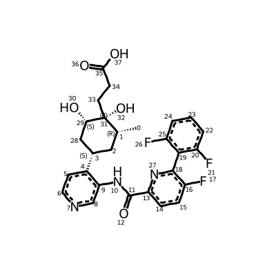 C[C@@H]1C[C@H](c2ccncc2NC(=O)c2ccc(F)c(-c3c(F)cccc3F)n2)C[C@H](O)[C@@]1(O)CCC(=O)O